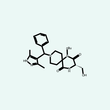 CCCCN1C(=O)[C@H](CO)NC(=O)C12CCN(C(c1ccccc1)c1c(C)n[nH]c1C)CC2